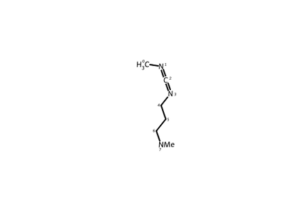 CN=C=NCCCNC